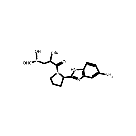 CCCCC(CN(O)C=O)C(=O)N1CCCC1c1nc2cc(N)ccc2[nH]1